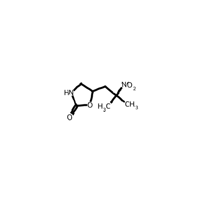 CC(C)(CC1CNC(=O)O1)[N+](=O)[O-]